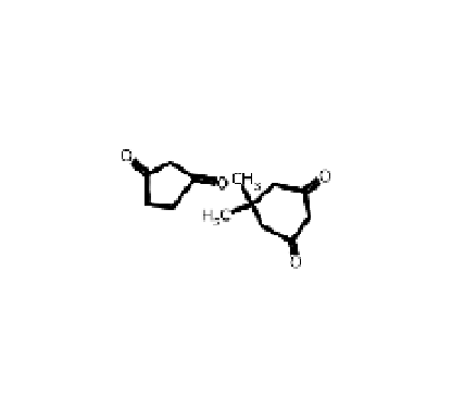 CC1(C)CC(=O)CC(=O)C1.O=C1CCC(=O)C1